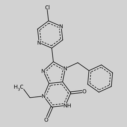 CCn1c(=O)[nH]c(=O)c2c1nc(-c1cnc(Cl)cn1)n2Cc1ccccc1